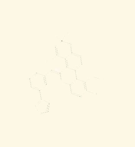 COc1c(O)ccc2c1-c1ccc3c(c1/C(=C/c1cccc(-c4ccsc4)c1)O2)C(C)=CC(C)(C)N3